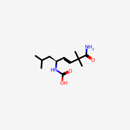 CC(C)C[C@@H](/C=C/C(C)(C)C(N)=O)NC(=O)O